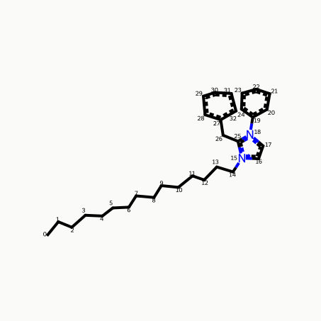 CCCCCCCCCCCCCCC[n+]1ccn(-c2ccccc2)c1Cc1ccccc1